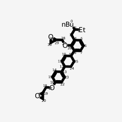 CCCCC(CC)Cc1cccc(C2C=CC(c3ccc(OCC4CO4)cc3)CC2)c1OCC1CO1